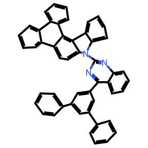 c1ccc(-c2cc(-c3ccccc3)cc(-c3nc(-n4c5ccccc5c5c6c7ccccc7c7ccccc7c6ccc54)nc4ccccc34)c2)cc1